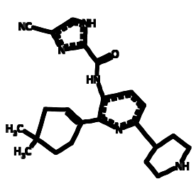 CC1(C)CC=C(c2nc(C3CCNCC3)ccc2NC(=O)c2nc(C#N)c[nH]2)CC1